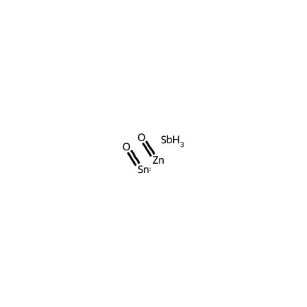 [O]=[Sn].[O]=[Zn].[SbH3]